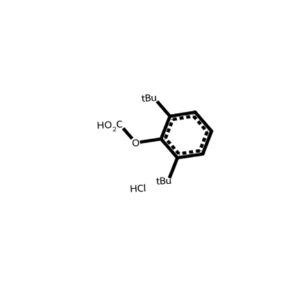 CC(C)(C)c1cccc(C(C)(C)C)c1OC(=O)O.Cl